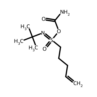 C=CCCCS(=O)(=NC(C)(C)C)OC(N)=O